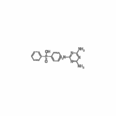 Nc1nc(N)nc(N)n1.O=P(O)(c1ccccc1)c1ccccc1